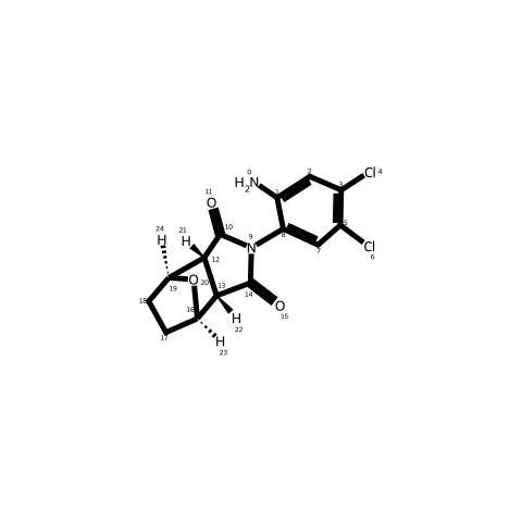 Nc1cc(Cl)c(Cl)cc1N1C(=O)[C@@H]2[C@H](C1=O)[C@H]1CC[C@@H]2O1